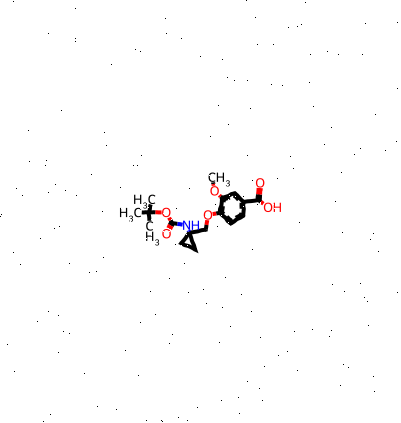 COc1cc(C(=O)O)ccc1OCC1(NC(=O)OC(C)(C)C)CC1